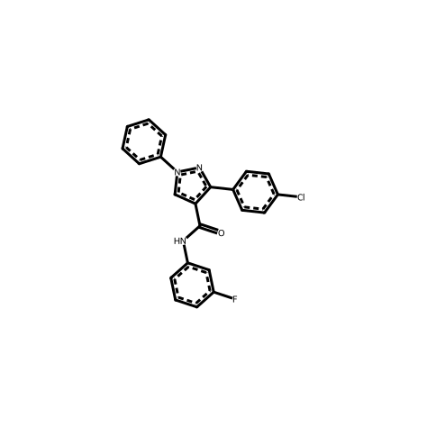 O=C(Nc1cccc(F)c1)c1cn(-c2ccccc2)nc1-c1ccc(Cl)cc1